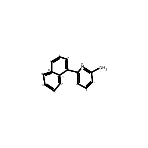 Nc1cccc(-c2cccc3ccccc23)n1